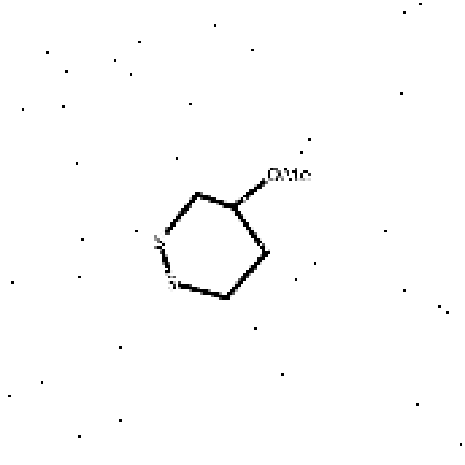 COC1CCSSC1